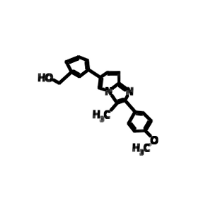 COc1ccc(-c2nc3ccc(-c4cccc(CO)c4)cn3c2C)cc1